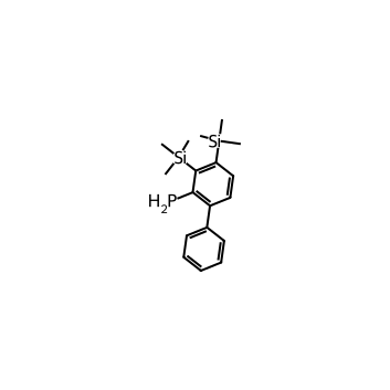 C[Si](C)(C)c1ccc(-c2ccccc2)c(P)c1[Si](C)(C)C